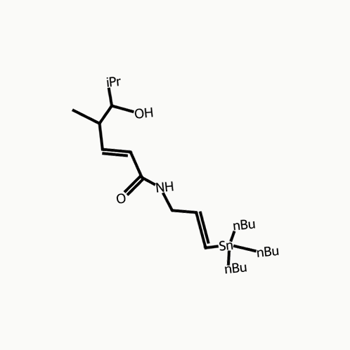 CCC[CH2][Sn](/[CH]=C/CNC(=O)/C=C/C(C)C(O)C(C)C)([CH2]CCC)[CH2]CCC